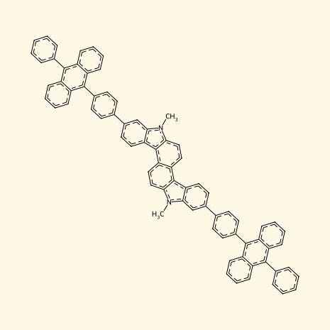 Cn1c2cc(-c3ccc(-c4c5ccccc5c(-c5ccccc5)c5ccccc45)cc3)ccc2c2c3ccc4c(c3ccc21)c1ccc(-c2ccc(-c3c5ccccc5c(-c5ccccc5)c5ccccc35)cc2)cc1n4C